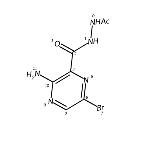 CC(=O)NNC(=O)c1nc(Br)cnc1N